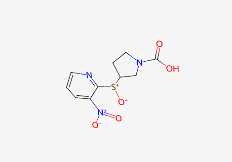 O=C(O)N1CCC([S+]([O-])c2ncccc2[N+](=O)[O-])C1